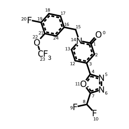 O=c1cc(-c2nnc(C(F)F)o2)ccn1Cc1ccc(F)c(OC(F)(F)F)c1